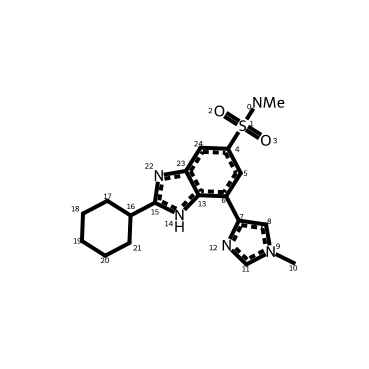 CNS(=O)(=O)c1cc(-c2cn(C)cn2)c2[nH]c(C3CCCCC3)nc2c1